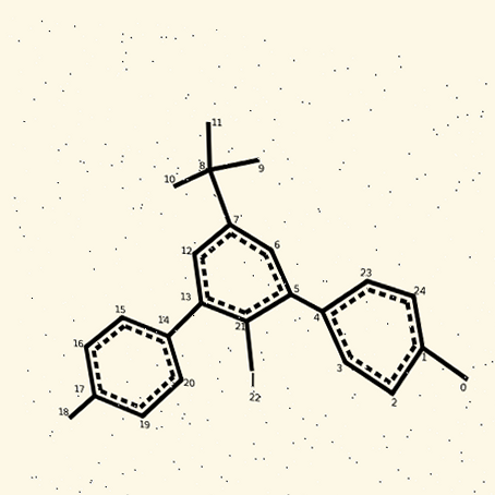 Cc1ccc(-c2cc(C(C)(C)C)cc(-c3ccc(C)cc3)c2I)cc1